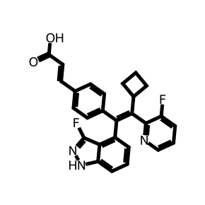 O=C(O)C=Cc1ccc(C(=C(c2ncccc2F)C2CCC2)c2cccc3[nH]nc(F)c23)cc1